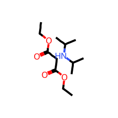 CC(C)NC(C)C.CCOC(=O)CC(=O)OCC